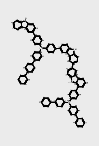 c1ccc(-c2ccc(-c3ccc(N(c4ccc(-c5ccc6sc7ccccc7c6c5)cc4)c4ccc(-c5ccc6sc7ccc(-c8ccc9sc%10c(-c%11ccc(N(c%12ccc(-c%13ccccc%13)cc%12)c%12ccc(-c%13ccccc%13)cc%12)cc%11)cccc%10c9c8)cc7c6c5)cc4)cc3)cc2)cc1